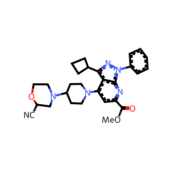 COC(=O)c1cc(N2CCC(N3CCOC(C#N)C3)CC2)c2c(C3CCC3)nn(-c3ccccc3)c2n1